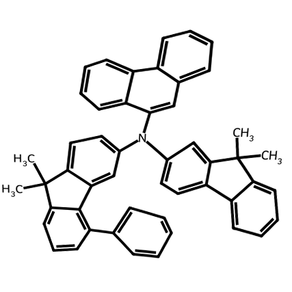 CC1(C)c2ccccc2-c2ccc(N(c3ccc4c(c3)-c3c(-c5ccccc5)cccc3C4(C)C)c3cc4ccccc4c4ccccc34)cc21